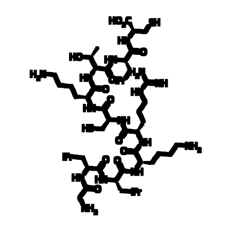 CC(C)C[C@H](NC(=O)CN)C(=O)N[C@@H](CC(C)C)C(=O)N[C@@H](CCCCN)C(=O)N[C@@H](CCCNC(=N)N)C(=O)N[C@@H](CS)C(=O)N[C@@H](CCCCN)C(=O)N[C@H](C(=O)N[C@@H](CC(C)C)C(=O)N[C@@H](CS)C(=O)O)[C@@H](C)O